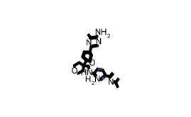 C=C(/C=C\C(=C/N)C(=C)N=C(C)C)NC(=O)C1(c2ccc(-c3cnc(N)c(C)n3)cc2)CCOCC1